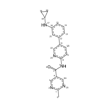 Cc1ncc(C(=O)Nc2ccc(-c3cccc(NC4CC4)c3)cn2)cn1